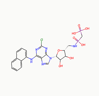 O=P(O)(O)CP(=O)(O)NC[C@H]1O[C@@H](n2cnc3c(Nc4cccc5ccccc45)nc(Cl)nc32)C(O)C1O